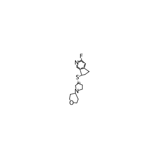 Fc1cc2c(cn1)C(S[C@@H]1CCN(C3CCOCC3)C1)CC2